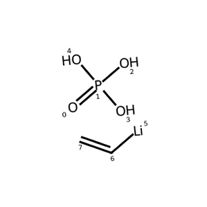 O=P(O)(O)O.[Li][CH]=C